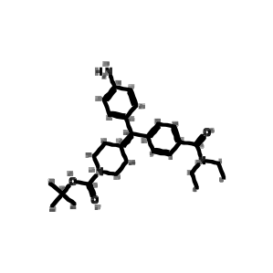 CCN(CC)C(=O)c1ccc(C(=C2CCN(C(=O)OC(C)(C)C)CC2)c2ccc(N)cc2)cc1